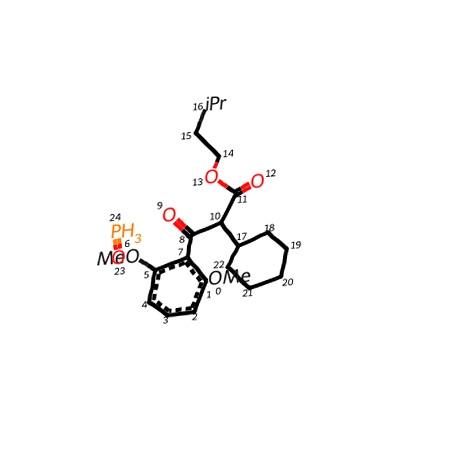 COc1cccc(OC)c1C(=O)C(C(=O)OCCC(C)C)C1CCCCC1.O=[PH3]